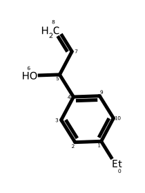 [CH2]Cc1ccc(C(O)C=C)cc1